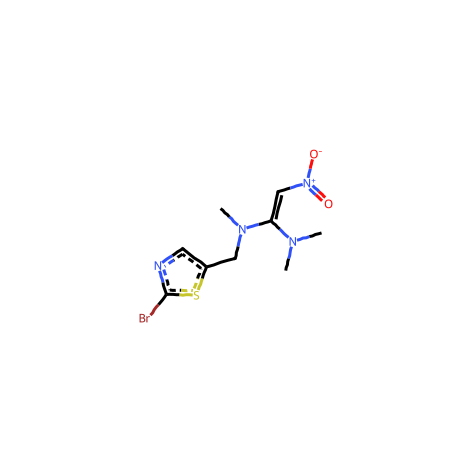 CN(C)C(=C[N+](=O)[O-])N(C)Cc1cnc(Br)s1